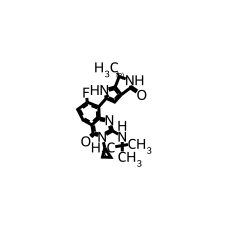 C[C@H]1NC(=O)c2cc(-c3c(F)ccc4c(=O)n(C5CC5)c(NC(C)(C)C)nc34)[nH]c21